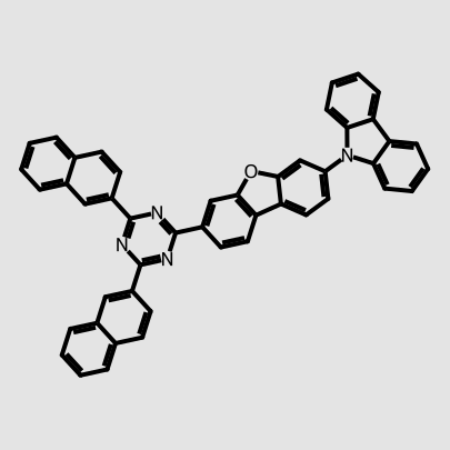 c1ccc2cc(-c3nc(-c4ccc5ccccc5c4)nc(-c4ccc5c(c4)oc4cc(-n6c7ccccc7c7ccccc76)ccc45)n3)ccc2c1